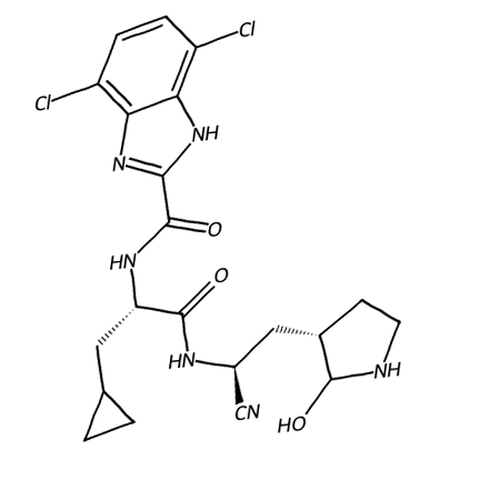 N#C[C@H](C[C@@H]1CCNC1O)NC(=O)[C@H](CC1CC1)NC(=O)c1nc2c(Cl)ccc(Cl)c2[nH]1